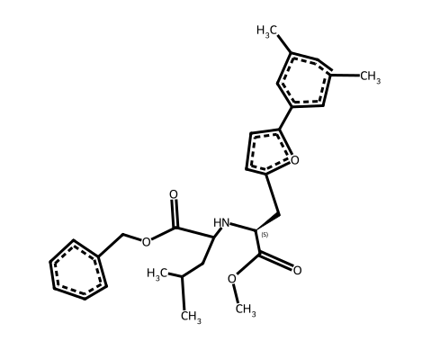 COC(=O)[C@H](Cc1ccc(-c2cc(C)cc(C)c2)o1)NC(CC(C)C)C(=O)OCc1ccccc1